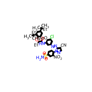 CCC(Oc1ccc(C(C)(C)CC)cc1C(C)(C)CC)C(=O)Nc1cc(/N=N/c2c(C#N)cnn2-c2ccc(S(N)(=O)=O)cc2[N+](=O)[O-])cc(Cl)c1OC